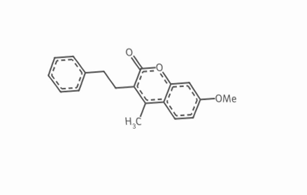 COc1ccc2c(C)c(CCc3ccccc3)c(=O)oc2c1